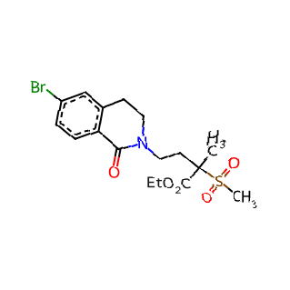 CCOC(=O)C(C)(CCN1CCc2cc(Br)ccc2C1=O)S(C)(=O)=O